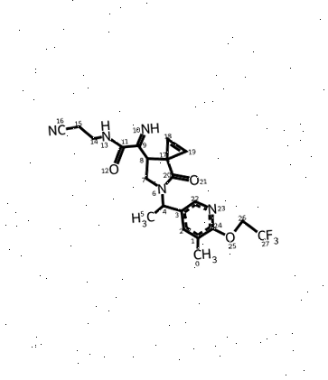 Cc1cc(C(C)N2CC(C(=N)C(=O)NCCC#N)C3(C=C3)C2=O)cnc1OCC(F)(F)F